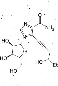 CCC(O)CC#Cc1c(C(N)=O)ncn1[C@@H]1O[C@H](CO)[C@@H](O)[C@H]1O